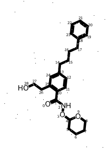 O=C(NOC1CCCCO1)c1ccc(CCCCc2ccccc2)cc1CCO